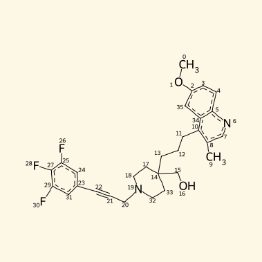 COc1ccc2ncc(C)c(CCCC3(CO)CCN(CC#Cc4cc(F)c(F)c(F)c4)CC3)c2c1